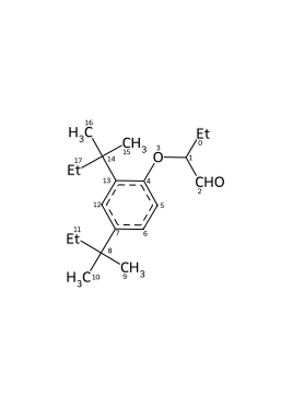 CCC(C=O)Oc1ccc(C(C)(C)CC)cc1C(C)(C)CC